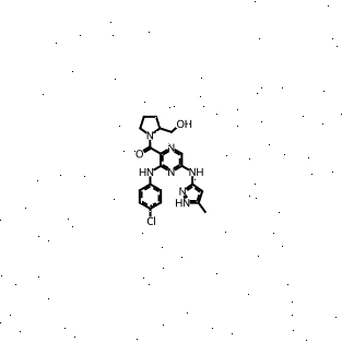 Cc1cc(Nc2cnc(C(=O)N3CCCC3CO)c(Nc3ccc(Cl)cc3)n2)n[nH]1